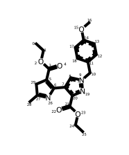 CCOC(=O)C1=C(c2cn(Cc3ccc(OC)cc3)nc2C(=O)OCC)N=C(C)C1